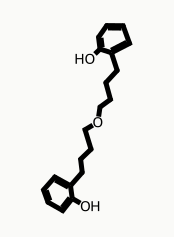 Oc1ccccc1CCCCOCCCCc1ccccc1O